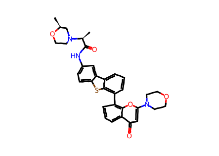 C[C@H]1CN([C@@H](C)C(=O)Nc2ccc3sc4c(-c5cccc6c(=O)cc(N7CCOCC7)oc56)cccc4c3c2)CCO1